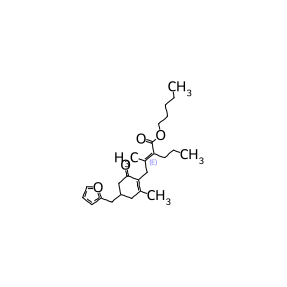 CCCCCOC(=O)/C(CCC)=C(\C)CC1=C(C)CC(Cc2ccco2)CC1=O